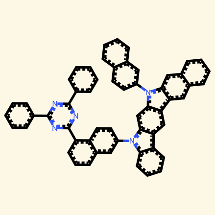 c1ccc(-c2nc(-c3ccccc3)nc(-c3cccc4cc(-n5c6ccccc6c6cc7c8cc9ccccc9cc8n(-c8ccc9ccccc9c8)c7cc65)ccc34)n2)cc1